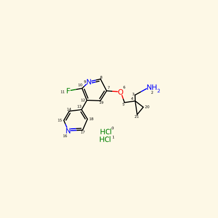 Cl.Cl.NCC1(COc2cnc(F)c(-c3ccncc3)c2)CC1